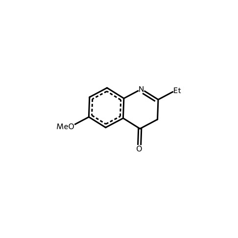 CCC1=Nc2ccc(OC)cc2C(=O)C1